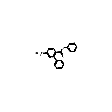 O=C(O)c1ccc(C(=O)Oc2ccccc2)c(-c2ccccc2)c1